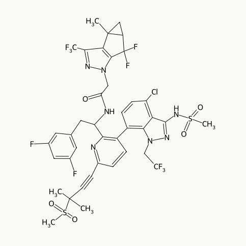 CC12CC1C(F)(F)c1c2c(C(F)(F)F)nn1CC(=O)NC(Cc1cc(F)cc(F)c1)c1nc(C#CC(C)(C)S(C)(=O)=O)ccc1-c1ccc(Cl)c2c(NS(C)(=O)=O)nn(CC(F)(F)F)c12